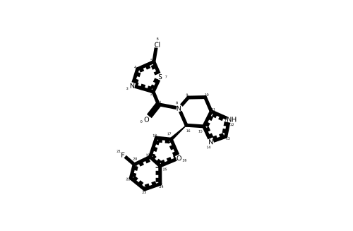 O=C(c1ncc(Cl)s1)N1CCc2[nH]cnc2[C@H]1c1cc2c(F)cccc2o1